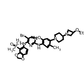 CCOC1CN(C2CCN(c3cc(OC)c(Nc4ncc(Br)c(Nc5ccc6c(c5P(C)(C)=O)OCO6)n4)cc3C)CC2)C1